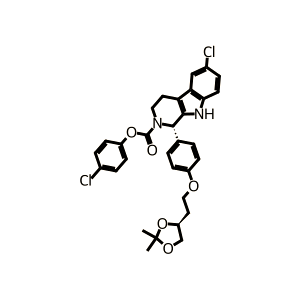 CC1(C)OC[C@H](CCOc2ccc([C@H]3c4[nH]c5ccc(Cl)cc5c4CCN3C(=O)Oc3ccc(Cl)cc3)cc2)O1